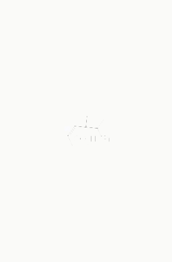 C/C=C\[C@](C)(C(=O)O)C(C)C(C)C